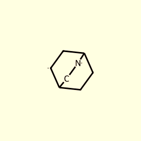 [CH]1CC2CCC1C[N]2